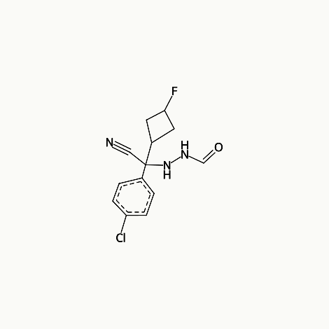 N#CC(NNC=O)(c1ccc(Cl)cc1)C1CC(F)C1